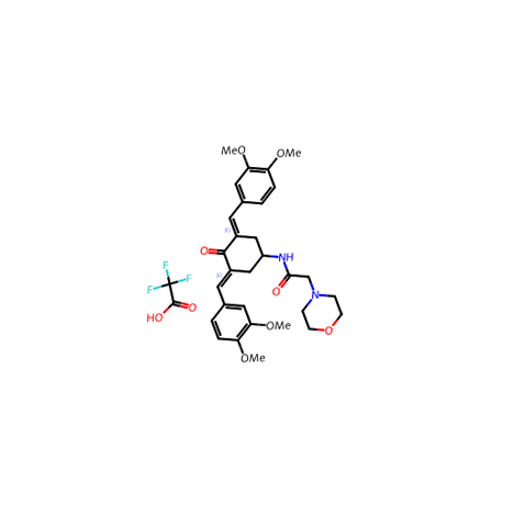 COc1ccc(/C=C2\CC(NC(=O)CN3CCOCC3)C/C(=C\c3ccc(OC)c(OC)c3)C2=O)cc1OC.O=C(O)C(F)(F)F